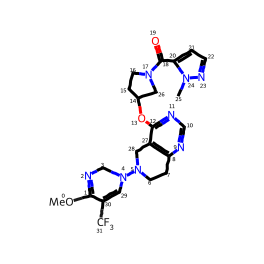 COC1=NCN(N2CCc3ncnc(OC4CCN(C(=O)c5ccnn5C)C4)c3C2)C=C1C(F)(F)F